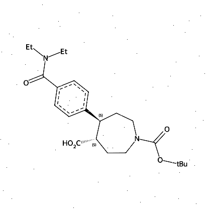 CCN(CC)C(=O)c1ccc([C@H]2CCN(C(=O)OC(C)(C)C)CC[C@@H]2C(=O)O)cc1